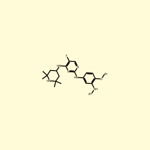 CC(C)Nc1cc(Nc2ncc(F)c(NC3CC(C)(C)NC(C)(C)C3)n2)ccc1OC(C)C